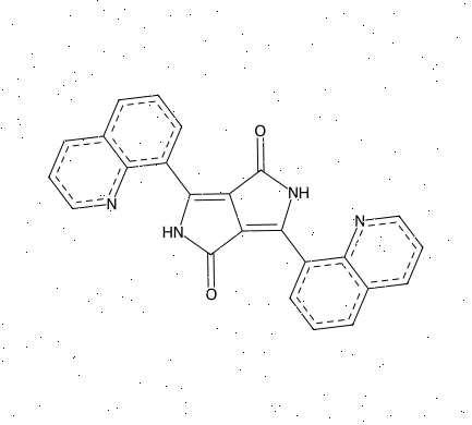 O=C1NC(c2cccc3cccnc23)=C2C(=O)NC(c3cccc4cccnc34)=C12